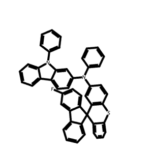 Fc1ccc2c(c1)-c1ccccc1C21c2ccccc2Sc2ccc(N(c3ccccc3)c3ccc4c5ccccc5n(-c5ccccc5)c4c3)cc21